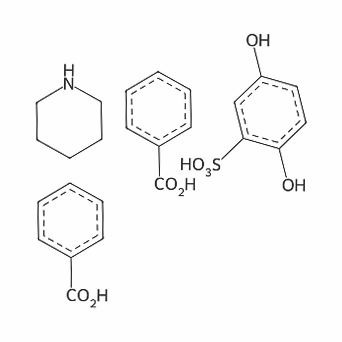 C1CCNCC1.O=C(O)c1ccccc1.O=C(O)c1ccccc1.O=S(=O)(O)c1cc(O)ccc1O